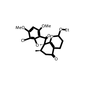 CCOC1CCC2=C(O1)[C@@]1(Oc3c(Cl)c(OC)cc(OC)c3C1=O)[C@H](C)CC2=O